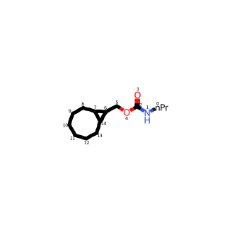 CCCNC(=O)OCC1C2CCCCCCC21